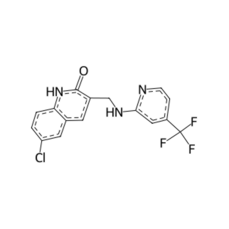 O=c1[nH]c2ccc(Cl)cc2cc1CNc1cc(C(F)(F)F)ccn1